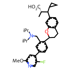 COc1cc(-c2ccc(C3CCc4ccc(C(C5CC5)[C@H](C)C(=O)O)cc4O3)c(CN(C(C)C)C(C)C)c2)c(F)cn1